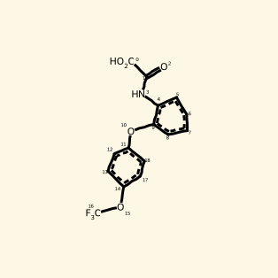 O=C(O)C(=O)Nc1ccccc1Oc1ccc(OC(F)(F)F)cc1